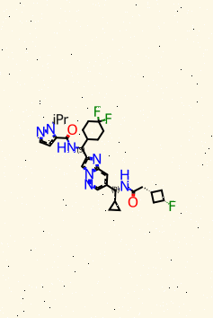 CC(C)n1nccc1C(=O)N[C@H](c1cn2ncc([C@H](NC(=O)C[C@H]3C[C@@H](F)C3)C3CC3)cc2n1)C1CCC(F)(F)CC1